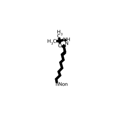 CCCCCCCCCCCCCCCC=CC1=NNC(C)(C)O1